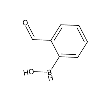 O=Cc1ccccc1BO